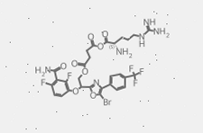 N=C(N)NCCC[C@H](N)C(=O)OC(=O)CCC(=O)OCC(Oc1ccc(F)c(C(N)=O)c1F)c1nc(-c2ccc(C(F)(F)F)cc2)c(Br)o1